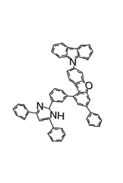 C1=C(c2ccccc2)NC(c2cccc(-c3cc(-c4ccccc4)cc4oc5cc(-n6c7ccccc7c7ccccc76)ccc5c34)c2)N=C1c1ccccc1